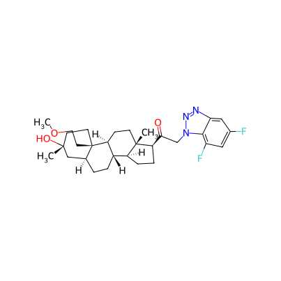 COCC[C@]12CC[C@@](C)(O)C[C@@H]1CC[C@H]1[C@@H]3CC[C@H](C(=O)Cn4nnc5cc(F)cc(F)c54)[C@@]3(C)CC[C@@H]12